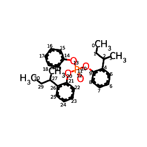 CCC(C)c1ccccc1OP(=O)(Oc1ccccc1)Oc1ccccc1C(C)CC